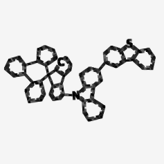 c1ccc2c(c1)-c1ccccc1C1(c3ccccc3-2)c2ccccc2-c2c(-n3c4ccccc4c4cc(-c5ccc6sc7ccccc7c6c5)ccc43)cccc21